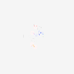 COc1cccc(-n2nc(C(F)(F)F)cc2CNC(=O)C(C)c2ccc(CS(C)(=O)=O)c(F)c2)c1